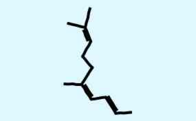 CC=CC=C(C)CCC=C(C)C